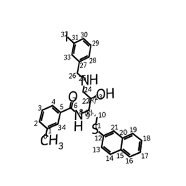 Cc1cccc(C(=O)N[C@@H](CSc2ccc3ccccc3c2)[C@H](O)CNCc2cccc(I)c2)c1